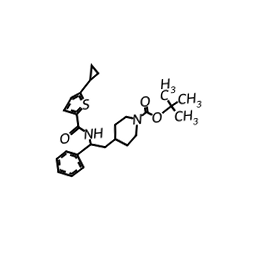 CC(C)(C)OC(=O)N1CCC(CC(NC(=O)c2ccc(C3CC3)s2)c2ccccc2)CC1